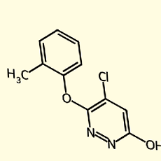 Cc1ccccc1Oc1nnc(O)cc1Cl